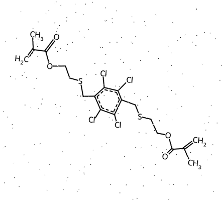 C=C(C)C(=O)OCCS[CH]c1c(Cl)c(Cl)c([CH]SCCOC(=O)C(=C)C)c(Cl)c1Cl